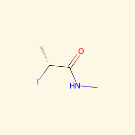 CNC(=O)[C@@H](C)I